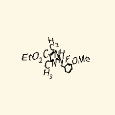 CCOC(=O)c1c(C)nc(NCc2cccc(OC)c2F)nc1C